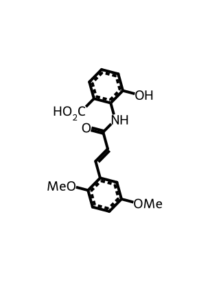 COc1ccc(OC)c(C=CC(=O)Nc2c(O)cccc2C(=O)O)c1